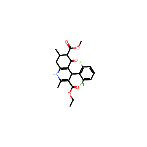 CCOC(=O)C1=C(C)NC2=C(C(=O)C(C(=O)OC)C(C)C2)C1c1c(F)cccc1Cl